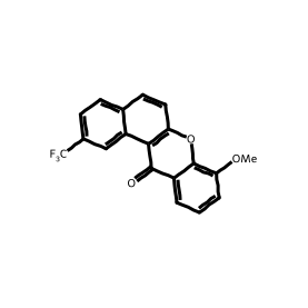 COc1cccc2c(=O)c3c(ccc4ccc(C(F)(F)F)cc43)oc12